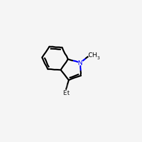 CCC1=CN(C)C2C=CC=CC12